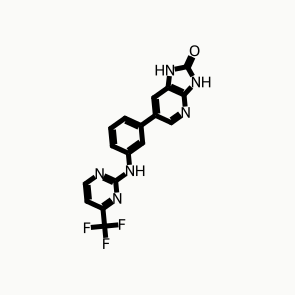 O=c1[nH]c2cc(-c3cccc(Nc4nccc(C(F)(F)F)n4)c3)cnc2[nH]1